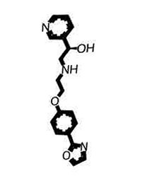 O[C@@H](CNCCOc1ccc(-c2ncco2)cc1)c1cccnc1